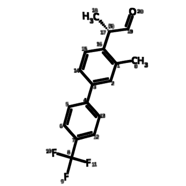 Cc1cc(-c2ccc(C(F)(F)F)cc2)ccc1[C@H](C)C=O